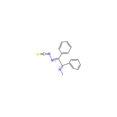 S=C=N/N=C(/C(=N/I)c1ccccc1)c1ccccc1